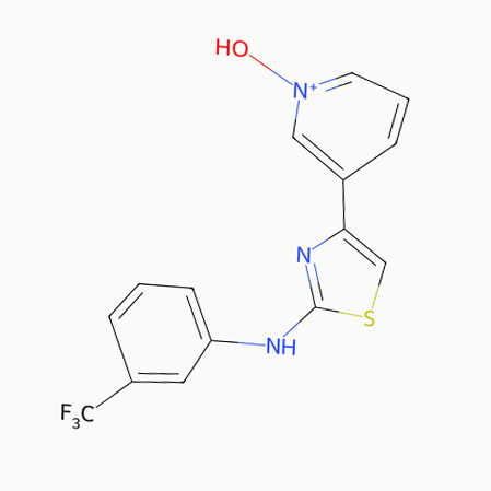 O[n+]1cccc(-c2csc(Nc3cccc(C(F)(F)F)c3)n2)c1